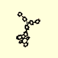 c1ccc(-c2ccc(N(c3ccc(-c4ccccc4)cc3)c3ccc(-c4ccc5c(c4)-c4ccccc4C54c5ccccc5-c5ccccc5-c5ccccc54)cc3)cc2)cc1